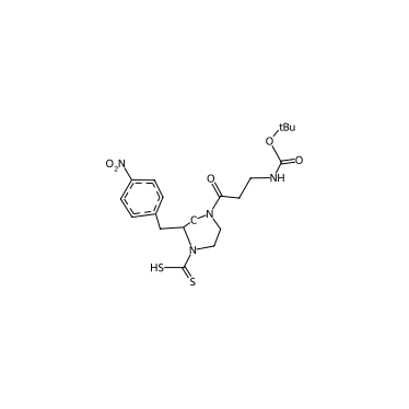 CC(C)(C)OC(=O)NCCC(=O)N1CCN(C(=S)S)C(Cc2ccc([N+](=O)[O-])cc2)C1